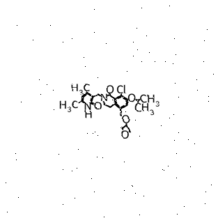 Cc1cc(C)c(CN2CCc3c(COC4COC4)cc(OC(C)C)c(Cl)c3C2=O)c(=O)[nH]1